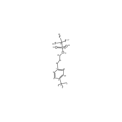 CC(C)(C)c1ccc(CCCOS(=O)(=O)C(F)(F)F)cc1